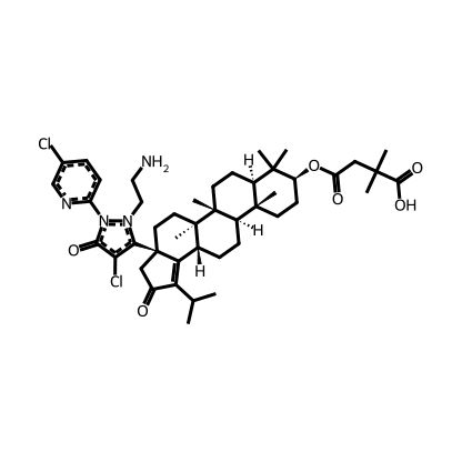 CC(C)C1=C2[C@H]3CC[C@@H]4[C@@]5(C)CC[C@H](OC(=O)CC(C)(C)C(=O)O)C(C)(C)[C@@H]5CC[C@@]4(C)[C@]3(C)CC[C@@]2(c2c(Cl)c(=O)n(-c3ccc(Cl)cn3)n2CCN)CC1=O